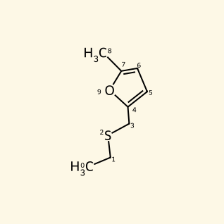 CCSCc1ccc(C)o1